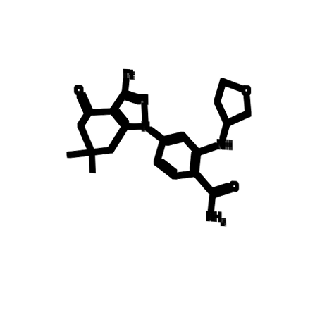 CCc1nn(-c2ccc(C(N)=O)c(NC3CCOC3)c2)c2c1C(=O)CC(C)(C)C2